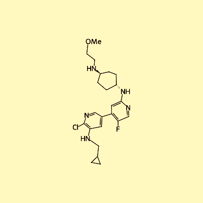 COCCN[C@H]1CC[C@H](Nc2cc(-c3cnc(Cl)c(NCC4CC4)c3)c(F)cn2)CC1